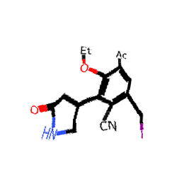 CCOc1c(C(C)=O)cc(CI)c(C#N)c1C1CNC(=O)C1